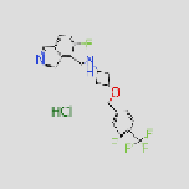 Cl.Fc1cc(COC2CC(NCc3c(F)ccc4cnccc34)C2)ccc1C(F)(F)F